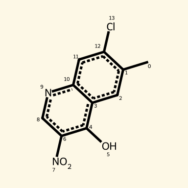 Cc1cc2c(O)c([N+](=O)[O-])cnc2cc1Cl